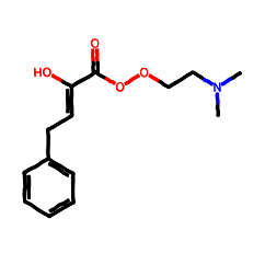 CN(C)CCOOC(=O)C(O)=CCc1ccccc1